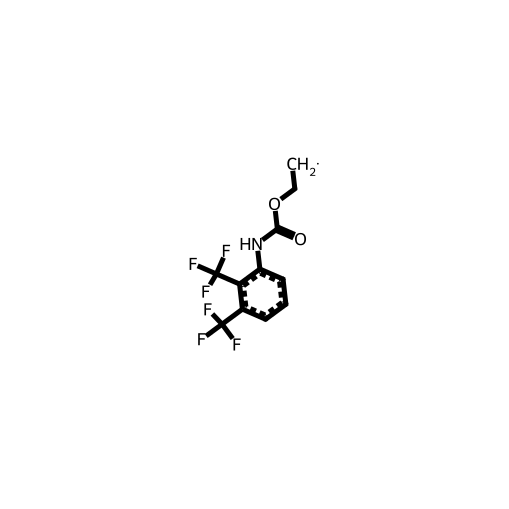 [CH2]COC(=O)Nc1cccc(C(F)(F)F)c1C(F)(F)F